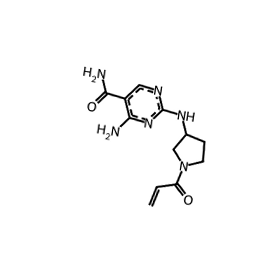 C=CC(=O)N1CCC(Nc2ncc(C(N)=O)c(N)n2)C1